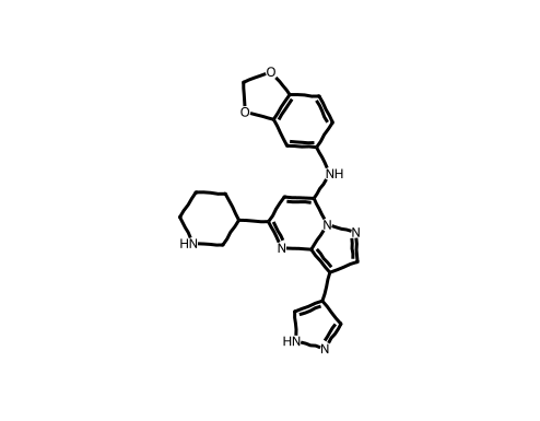 c1cc2c(cc1Nc1cc(C3CCCNC3)nc3c(-c4cn[nH]c4)cnn13)OCO2